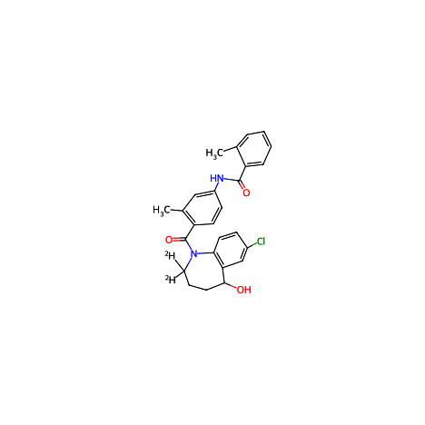 [2H]C1([2H])CCC(O)c2cc(Cl)ccc2N1C(=O)c1ccc(NC(=O)c2ccccc2C)cc1C